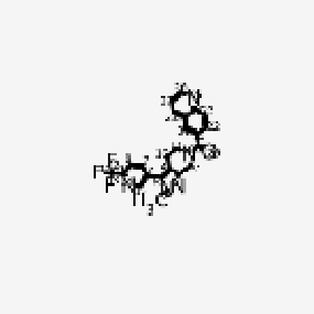 Cn1nc2c(c1-c1ccc(C(F)(F)F)nc1)CCN(C(=O)c1ccc3ncccc3c1)C2